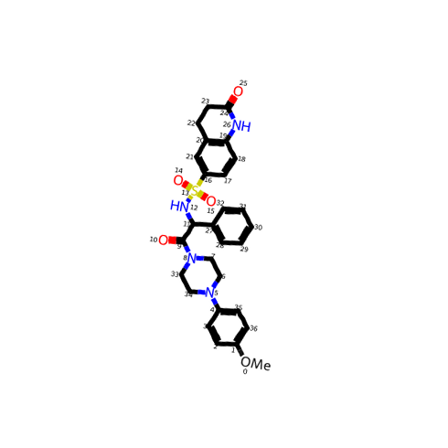 COc1ccc(N2CCN(C(=O)C(NS(=O)(=O)c3ccc4c(c3)CCC(=O)N4)c3ccccc3)CC2)cc1